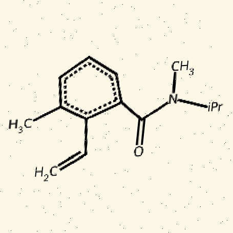 C=Cc1c(C)cccc1C(=O)N(C)C(C)C